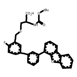 CC(C)(C)OC(=O)NC(CSCc1cc(-c2cccc(-c3cccc4c3oc3ccccc34)c2)ccc1F)C(=O)O